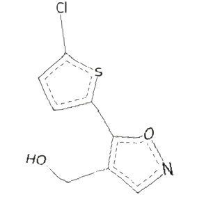 OCc1cnoc1-c1ccc(Cl)s1